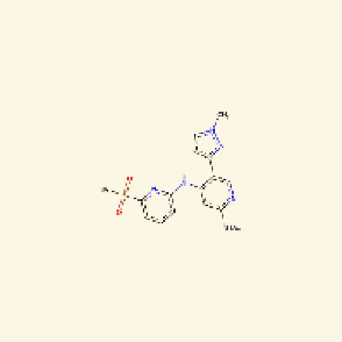 CC(=O)Nc1cc(Nc2cccc(S(=O)(=O)C(C)C)n2)c(-c2ccn(C)n2)cn1